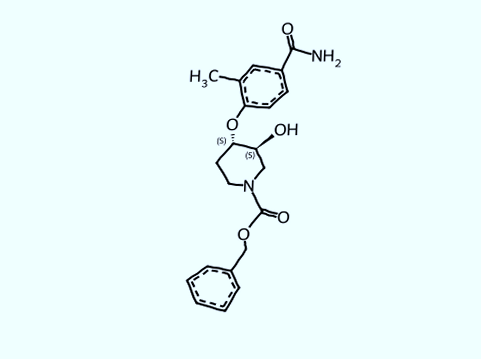 Cc1cc(C(N)=O)ccc1O[C@H]1CCN(C(=O)OCc2ccccc2)C[C@@H]1O